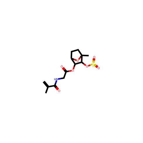 C=C(C)C(=O)NCC(=O)OC1C2CCC(C)(O2)C1O[SH](=O)=O